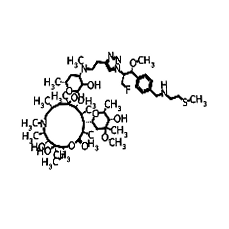 CC[C@H]1OC(=O)[C@H](C)[C@@H](C2C[C@@](C)(OC)[C@@H](O)[C@H](C)O2)[C@H](C)[C@@H](O[C@@H]2O[C@H](C)C[C@H](N(C)CCc3cn([C@H](CF)[C@H](OC)c4ccc(CNCCSC)cc4)nn3)[C@H]2O)[C@](C)(O)C[C@@H](C)CN(C)[C@H](C)[C@@H](O)[C@]1(C)O